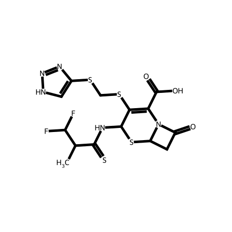 CC(C(=S)NC1SC2CC(=O)N2C(C(=O)O)=C1SCSc1c[nH]nn1)C(F)F